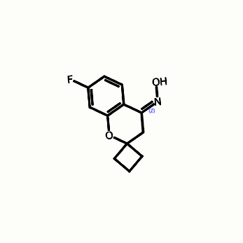 O/N=C1/CC2(CCC2)Oc2cc(F)ccc21